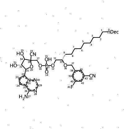 CCCCCCCCCCCCCCCCCCC[C@@H](COP(=O)(O)OCC1(C#N)OC(c2ccc3c(N)ncnn23)[C@H](O)C1O)OCc1cc(F)cc(C#N)c1